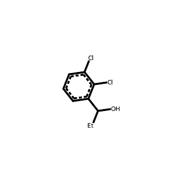 CC[C](O)c1cccc(Cl)c1Cl